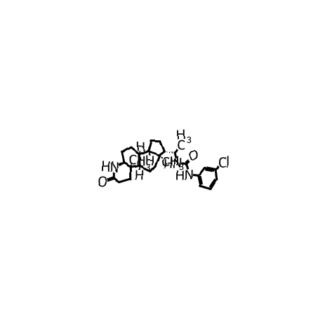 CC(NC(=O)Nc1cccc(Cl)c1)[C@H]1CC[C@H]2[C@@H]3CCC4NC(=O)CC[C@]4(C)[C@H]3CC[C@]12C